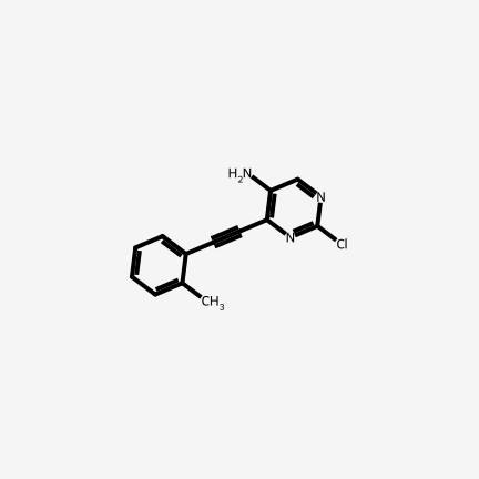 Cc1ccccc1C#Cc1nc(Cl)ncc1N